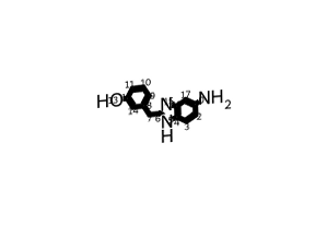 Nc1ccc2[nH]c(Cc3cccc(O)c3)nc2c1